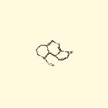 CCCCN1CCCc2cnc3[nH]ccc3c21